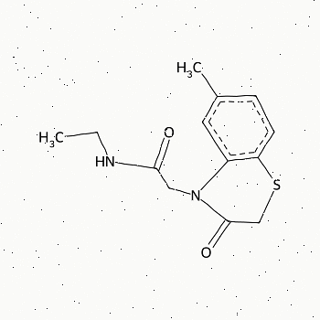 CCNC(=O)CN1C(=O)CSc2ccc(C)cc21